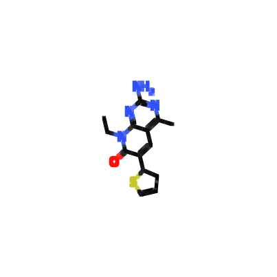 CCn1c(=O)c(C2CC=CS2)cc2c(C)nc(N)nc21